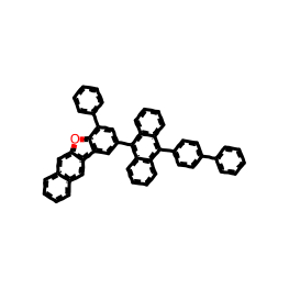 c1ccc(-c2ccc(-c3c4ccccc4c(-c4cc(-c5ccccc5)c5oc6cc7ccccc7cc6c5c4)c4ccccc34)cc2)cc1